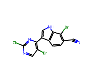 N#Cc1ccc2c(-c3nc(Cl)ncc3Br)c[nH]c2c1Br